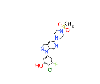 CS(=O)(=O)N1CCN(c2cc3cnn(-c4cc(O)c(Cl)c(F)c4)c3cn2)CC1